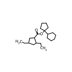 CCC1CC(CC)C(C(=O)OC2(C3CCCCC3)CCCC2)C1